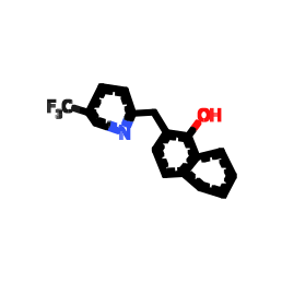 Oc1c(Cc2ccc(C(F)(F)F)cn2)ccc2ccccc12